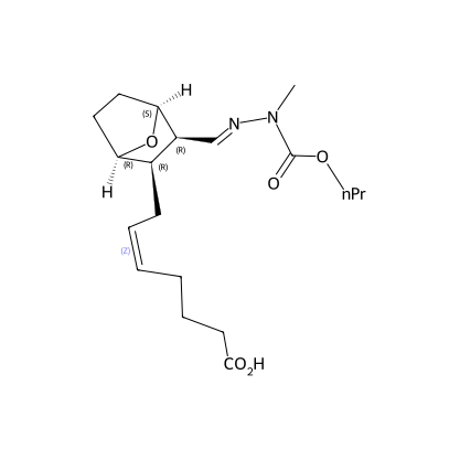 CCCOC(=O)N(C)N=C[C@H]1[C@@H](C/C=C\CCCC(=O)O)[C@H]2CC[C@@H]1O2